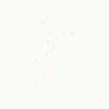 CCCON=C(C(=O)NC1C(=O)N2C(C(=O)O)=C(COC(=O)N3CCN(C)CC3)CS[C@@H]12)c1csc(N)n1